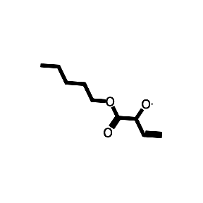 C=CC([O])C(=O)OCCCCC